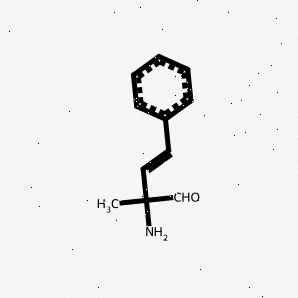 CC(N)(C=O)C=Cc1ccccc1